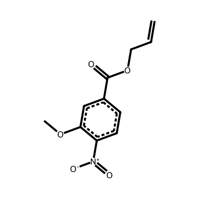 C=CCOC(=O)c1ccc([N+](=O)[O-])c(OC)c1